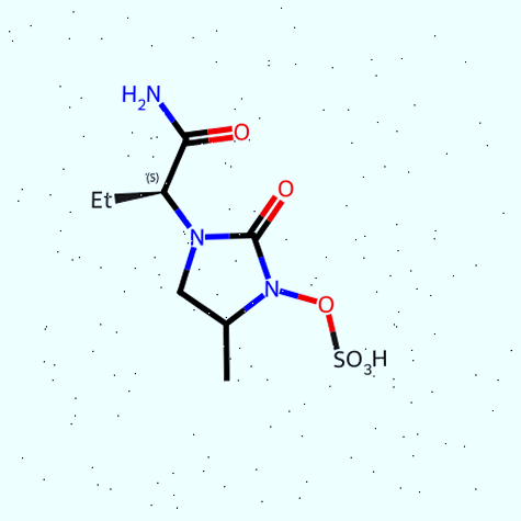 CC[C@@H](C(N)=O)N1CC(C)N(OS(=O)(=O)O)C1=O